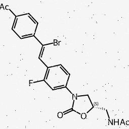 CC(=O)NC[C@H]1CN(c2ccc(C=C(Br)c3ccc(C(C)=O)cc3)c(F)c2)C(=O)O1